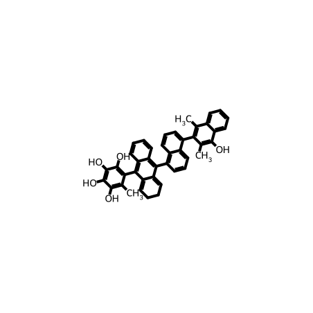 Cc1c(O)c(O)c(O)c(O)c1-c1c2c(c(-c3cccc4c(-c5c(C)c(O)c6ccccc6c5C)cccc34)c3ccccc13)=CCCC=2